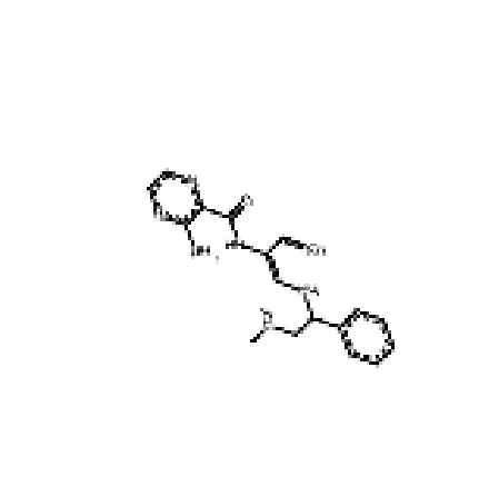 CNCC(N/C=C(\C=N)NC(=O)c1nccnc1N)c1ccccc1